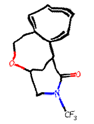 O=C1C2c3ccccc3COC2CN1C(F)(F)F